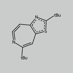 CC(C)(C)C1=Cc2sc(C(C)(C)C)nc2C=C=N1